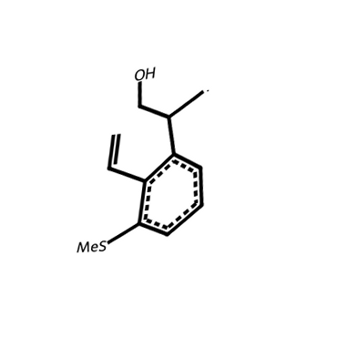 [CH2]C(CO)c1cccc(SC)c1C=C